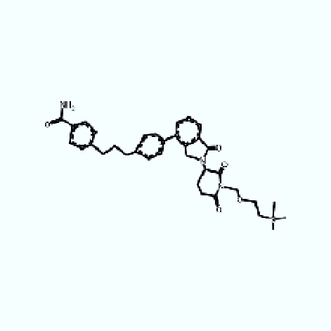 C[Si](C)(C)CCOCN1C(=O)CCC(N2Cc3c(cccc3-c3ccc(CCCc4ccc(C(N)=O)cc4)cc3)C2=O)C1=O